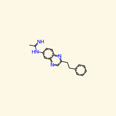 CC(=N)Nc1ccc2nc(CCc3ccccc3)cnc2c1